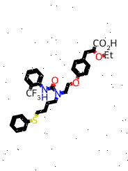 CCOC(Cc1ccc(OCCN(CCCCSc2ccccc2)C(=O)Nc2ccccc2C(F)(F)F)cc1)C(=O)O